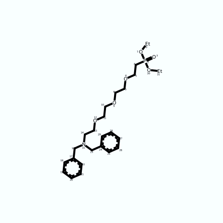 CCOP(=O)(CCOCCOCCOCCN(Cc1ccccc1)Cc1ccccc1)OCC